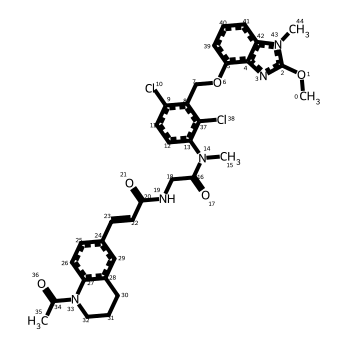 COc1nc2c(OCc3c(Cl)ccc(N(C)C(=O)CNC(=O)C=Cc4ccc5c(c4)CCCN5C(C)=O)c3Cl)cccc2n1C